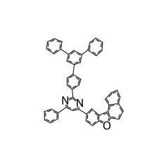 c1ccc(-c2cc(-c3ccccc3)cc(-c3ccc(-c4nc(-c5ccccc5)cc(-c5ccc6oc7ccc8ccccc8c7c6c5)n4)cc3)c2)cc1